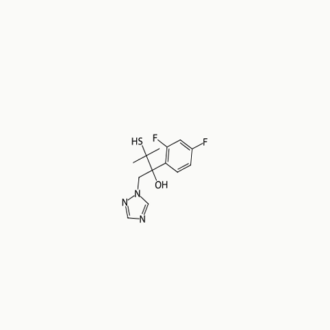 CC(C)(S)C(O)(Cn1cncn1)c1ccc(F)cc1F